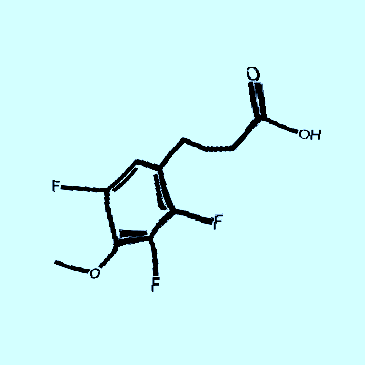 COc1c(F)cc(CCC(=O)O)c(F)c1F